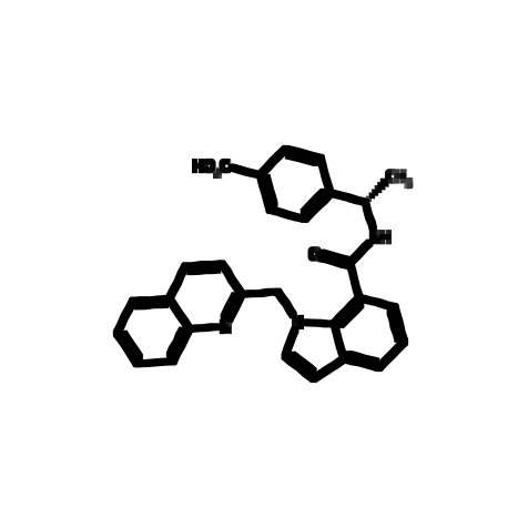 C[C@H](NC(=O)c1cccc2ccn(Cc3ccc4ccccc4n3)c12)c1ccc(C(=O)O)cc1